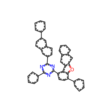 c1ccc(-c2ccc3cc(-c4nc(-c5ccccc5)nc(-c5ccc(-c6ccccc6)c6oc7cc8ccccc8cc7c56)n4)ccc3c2)cc1